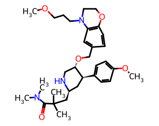 COCCCN1CCOc2ccc(CO[C@H]3CN[C@H](CC(C)(C)C(=O)N(C)C)C[C@@H]3c3ccc(OC)cc3)cc21